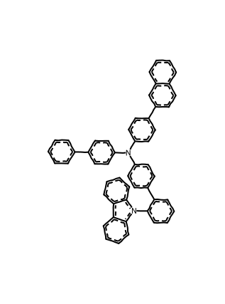 c1ccc(-c2ccc(N(c3ccc(-c4ccc5ccccc5c4)cc3)c3ccc(-c4ccccc4-n4c5ccccc5c5ccccc54)cc3)cc2)cc1